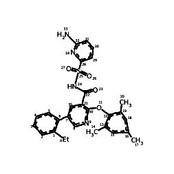 CCc1ccccc1-c1cnc(Oc2c(C)cc(C)cc2C)c(C(=O)NS(=O)(=O)c2cccc(N)n2)c1